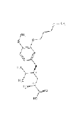 COCCCOc1cc(C[C@@H](C[C@H](N)C(=O)O)C(C)C)ccc1OC